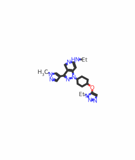 CCNc1cc2c(cn1)c(-c1cnn(C)c1)nn2C1CCC(Oc2cnnn2CC)CC1